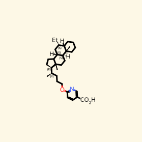 CC[C@H]1C[C@H]2C3CC[C@H]([C@H](C)CCCOc4ccc(C(=O)O)cn4)[C@@]3(C)CC[C@@H]2[C@@]2(C)CCCC[C@@H]12